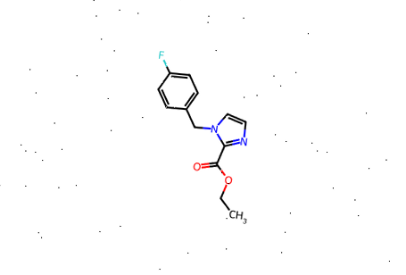 CCOC(=O)c1nccn1Cc1ccc(F)cc1